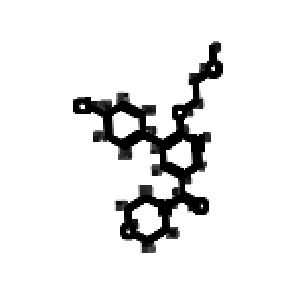 COCCOc1ncc(C(=O)N2CCOCC2)cc1-c1ccc(Cl)cc1